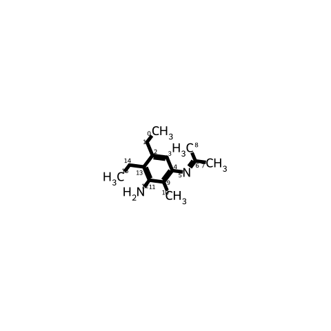 CCc1cc(N=C(C)C)c(C)c(N)c1CC